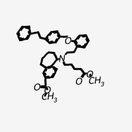 COC(=O)CCCCN(CCc1ccccc1OCc1ccc(CCc2ccccc2)cc1)C1CCCCc2cc(C(=O)OC)ccc21